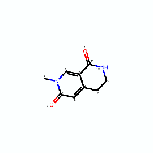 Cn1cc2c(cc1=O)CCNC2=O